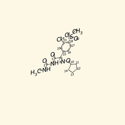 CNC(=O)NC(=O)/C(=N/OC1CCCC1)c1ccc(S(C)(=O)=O)c(Cl)c1